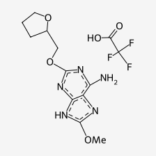 COc1nc2c(N)nc(OCC3CCCO3)nc2[nH]1.O=C(O)C(F)(F)F